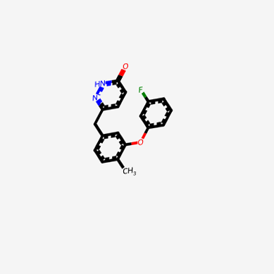 Cc1ccc(Cc2ccc(=O)[nH]n2)cc1Oc1cccc(F)c1